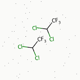 FC(F)(F)C(Cl)Cl.FC(F)(F)C(Cl)Cl